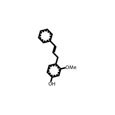 COc1cc(O)ccc1C/C=C/c1ccccc1